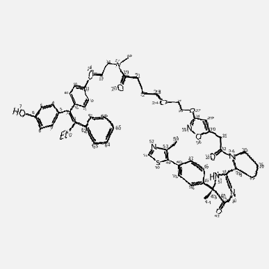 CC/C(=C(\c1ccc(O)cc1)c1ccc(OCCN(C)C(=O)CCCOCCOc2cc(CC(=O)N3CCC[C@H]3C3=NC(=O)[C@](C)(c4ccc(-c5scnc5C)cc4)N3)on2)cc1)c1ccccc1